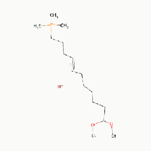 CCOC(CCCCC/C=C/CCC[P+](C)(C)C)OCC.[Br-]